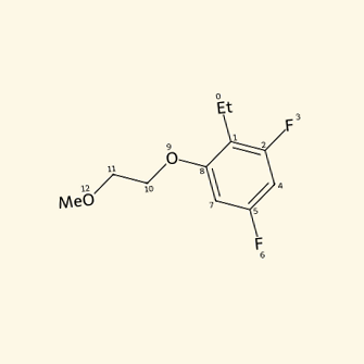 CCc1c(F)cc(F)cc1OCCOC